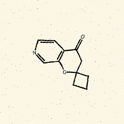 O=C1CC2(CCC2)Oc2cnccc21